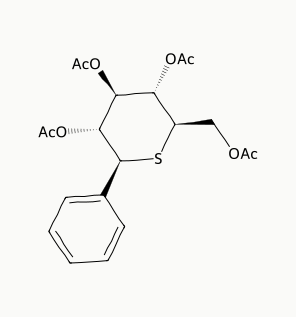 CC(=O)OC[C@H]1S[C@@H](c2ccccc2)[C@H](OC(C)=O)[C@@H](OC(C)=O)[C@@H]1OC(C)=O